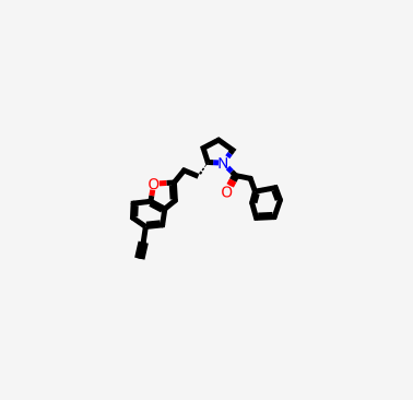 C#Cc1ccc2oc(CC[C@@H]3CCCN3C(=O)Cc3ccccc3)cc2c1